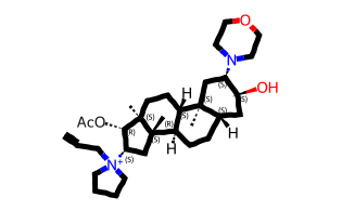 C=CC[N+]1([C@H]2C[C@@]3(C)[C@@H]4CC[C@H]5C[C@H](O)[C@@H](N6CCOCC6)C[C@]5(C)[C@H]4CC[C@]3(C)[C@H]2OC(C)=O)CCCC1